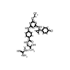 C=C(O)[C@H](CNC(=N)N)NC(=O)c1ccc(Nc2nc(NC3(c4ccc(Cl)cc4)CC3)nc(OCC(F)(F)F)n2)cc1